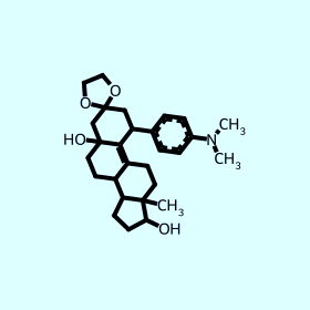 CN(C)c1ccc(C2CC3(CC4(O)CCC5C(=C24)CCC2(C)C(O)CCC52)OCCO3)cc1